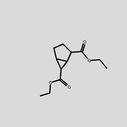 CCOC(=O)C1CCC2C(C(=O)OCC)C12